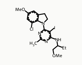 CCC(COC)Nc1nc(C)nc(N2CCc3cc(OC)cc(Cl)c32)c1I